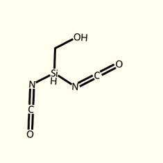 O=C=N[SiH](CO)N=C=O